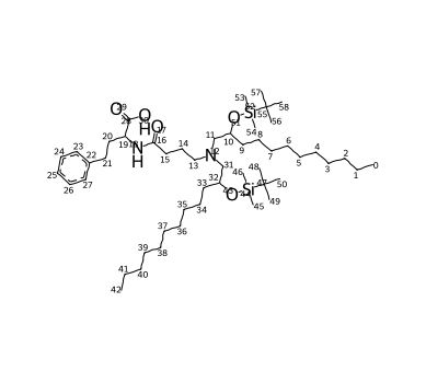 CCCCCCCCCCC(CN(CCCC(=O)NC(CCc1ccccc1)C(=O)O)CC(CCCCCCCCCC)O[Si](C)(C)C(C)(C)C)O[Si](C)(C)C(C)(C)C